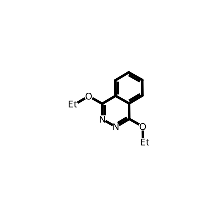 CCOc1nnc(OCC)c2ccccc12